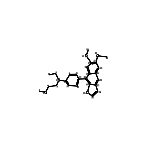 CCN(CCOC)c1ccc(-c2c3cc(OC)c(OC)cc3cc3ccoc23)cc1